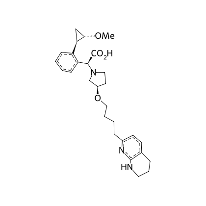 CO[C@H]1C[C@@H]1c1ccccc1[C@@H](C(=O)O)N1CC[C@@H](OCCCCc2ccc3c(n2)NCCC3)C1